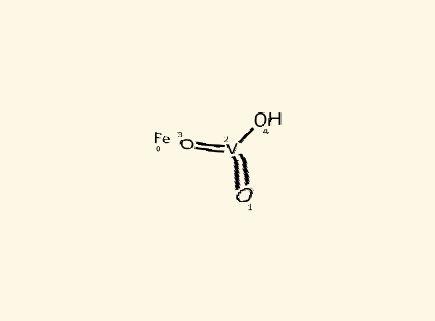 [Fe].[O]=[V](=[O])[OH]